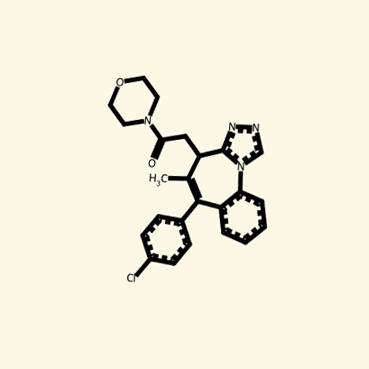 CC1=C(c2ccc(Cl)cc2)c2ccccc2-n2cnnc2C1CC(=O)N1CCOCC1